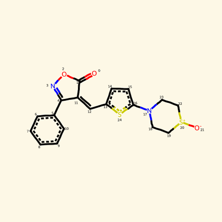 O=C1ON=C(c2ccccc2)C1=Cc1ccc(N2CC[S+]([O-])CC2)s1